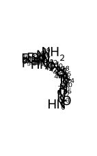 CNC(=O)CN1CCN([C@@H](C)Cn2c(C)cc3c(C)c(CN4CCC(Nc5nc(N)nc6sc(CC(F)(F)F)cc56)CC4)ccc32)CC1